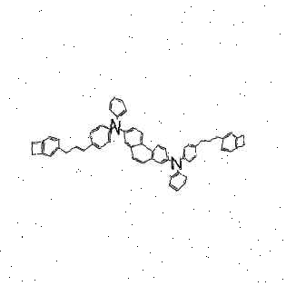 c1ccc(N(c2ccc(CCCc3ccc4c(c3)CC4)cc2)c2ccc3c(ccc4cc(N(c5ccccc5)c5ccc(CCCc6ccc7c(c6)CC7)cc5)ccc43)c2)cc1